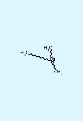 CCCCCCCCCCCCC1N(CCCCC)C=CN1CCCCC